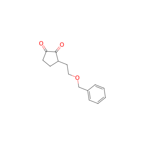 O=C1CCC(CCOCc2ccccc2)C1=O